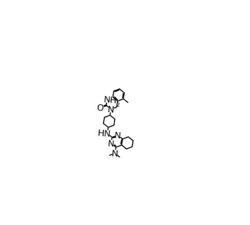 Cc1ccccc1CN(C(N)=O)C1CCC(Nc2nc3c(c(N(C)C)n2)CCCC3)CC1